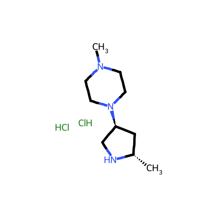 C[C@H]1C[C@H](N2CCN(C)CC2)CN1.Cl.Cl